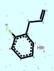 Br.C=CCc1ccccc1F